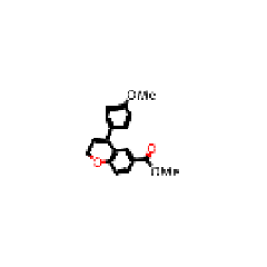 COC(=O)c1ccc2c(c1)C(c1ccc(OC)cc1)=CCO2